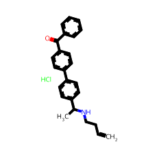 C=CCCNC(C)c1ccc(-c2ccc(C(=O)c3ccccc3)cc2)cc1.Cl